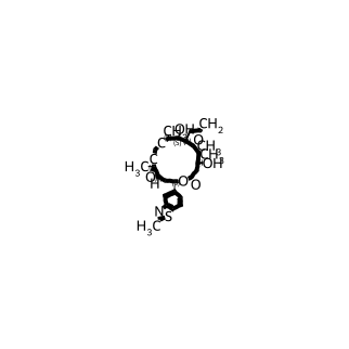 C=CC[C@H]1C(=O)C(C)(C)[C@@H](O)CC(=O)O[C@H](c2ccc3sc(C)nc3c2)C[C@H]2O[C@@]2(C)CCC[C@H](C)[C@@H]1O